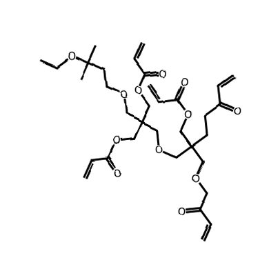 C=CC(=O)CCC(COCC(=O)C=C)(COCC(COCCC(C)(C)OCC)(COC(=O)C=C)COC(=O)C=C)COC(=O)C=C